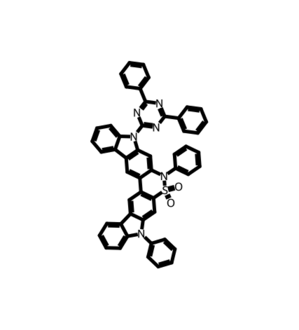 O=S1(=O)c2cc3c(cc2-c2cc4c5ccccc5n(-c5nc(-c6ccccc6)nc(-c6ccccc6)n5)c4cc2N1c1ccccc1)c1ccccc1n3-c1ccccc1